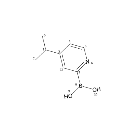 CC(C)c1ccnc(B(O)O)c1